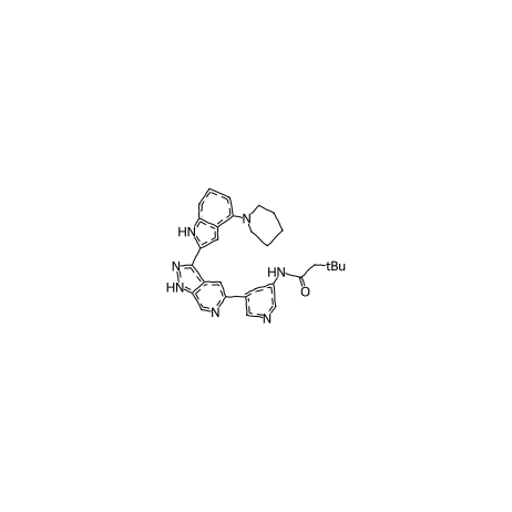 CC(C)(C)CC(=O)Nc1cncc(-c2cc3c(-c4cc5c(N6CCCCC6)cccc5[nH]4)n[nH]c3cn2)c1